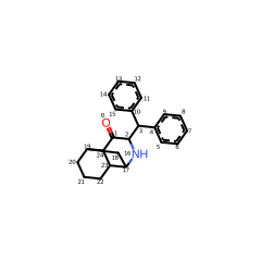 O=C1C(C(c2ccccc2)c2ccccc2)NC2CC3CCCC2C13